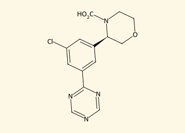 O=C(O)N1CCOC[C@H]1c1cc(Cl)cc(-c2ncncn2)c1